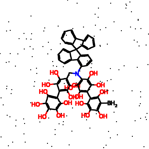 Bc1c(O)c(O)c(O)c(-c2c(O)c(O)c(N(Cc3c(O)c(O)c(-c4c(O)c(O)c(O)c(O)c4O)c(O)c3O)c3cccc4c3-c3ccccc3C43c4ccccc4-c4ccccc43)c(O)c2O)c1O